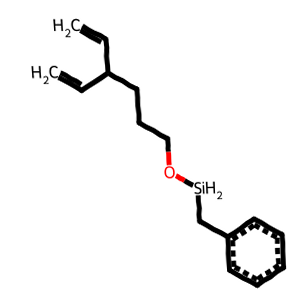 C=CC(C=C)CCCO[SiH2]Cc1ccccc1